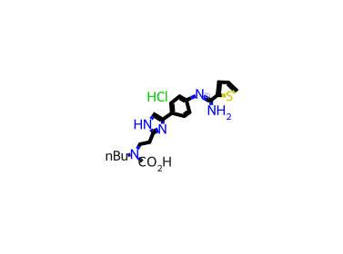 CCCCN(CCc1nc(-c2ccc(/N=C(\N)c3cccs3)cc2)c[nH]1)C(=O)O.Cl